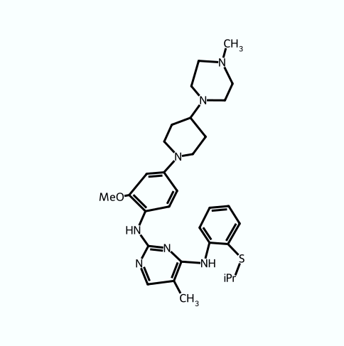 COc1cc(N2CCC(N3CCN(C)CC3)CC2)ccc1Nc1ncc(C)c(Nc2ccccc2SC(C)C)n1